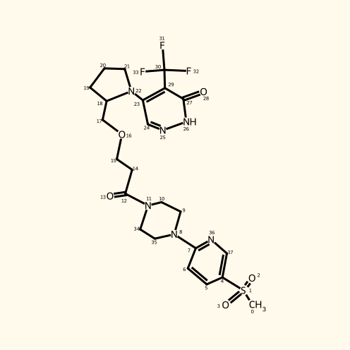 CS(=O)(=O)c1ccc(N2CCN(C(=O)CCOCC3CCCN3c3cn[nH]c(=O)c3C(F)(F)F)CC2)nc1